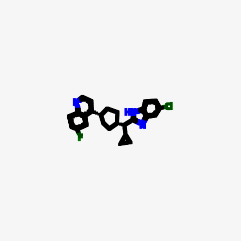 Fc1ccc2nccc([C@H]3CC[C@@H](C(c4nc5cc(Cl)ccc5[nH]4)C4CC4)CC3)c2c1